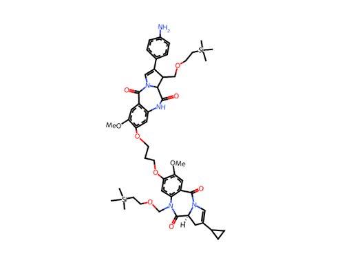 COc1cc2c(cc1OCCCOc1cc3c(cc1OC)C(=O)N1C=C(C4CC4)C[C@H]1C(=O)N3COCC[Si](C)(C)C)NC(=O)C1C(COCC[Si](C)(C)C)C(c3ccc(N)cc3)=CN1C2=O